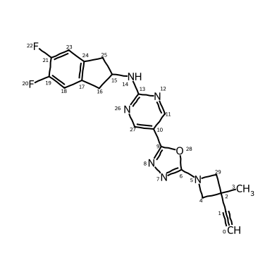 C#CC1(C)CN(c2nnc(-c3cnc(NC4Cc5cc(F)c(F)cc5C4)nc3)o2)C1